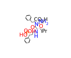 CC(C)C[C@H](NCCC(c1ccccc1)P(=O)(O)O)C(=O)N(C(N)=O)[C@@H](Cc1ccccc1)C(=O)O